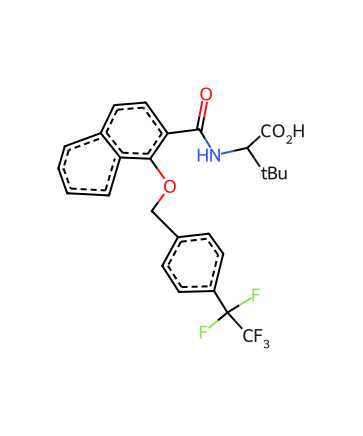 CC(C)(C)C(NC(=O)c1ccc2ccccc2c1OCc1ccc(C(F)(F)C(F)(F)F)cc1)C(=O)O